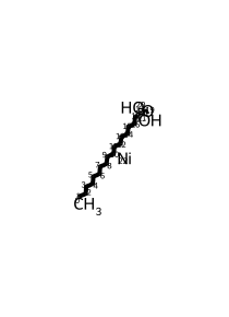 CCCCCCCCCCCCCCCCCCP(=O)(O)O.[Ni]